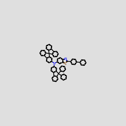 c1ccc(-c2ccc(-c3nc4ccc(N(c5ccc6c(c5)C(c5ccccc5)(c5ccccc5)c5ccccc5-6)c5ccc6c(c5)C5(c7ccccc7-c7ccccc75)c5ccccc5-6)cc4s3)cc2)cc1